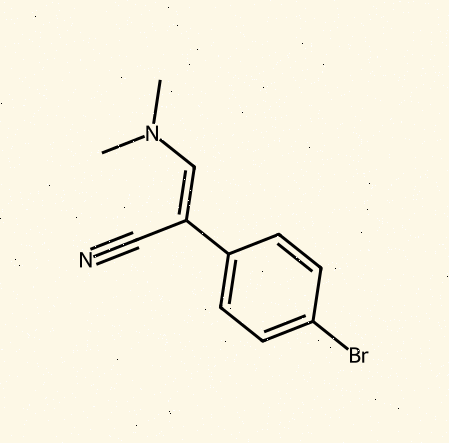 CN(C)C=C(C#N)c1ccc(Br)cc1